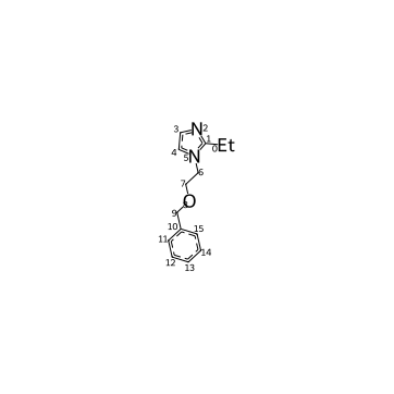 CCc1nccn1CCOCc1ccccc1